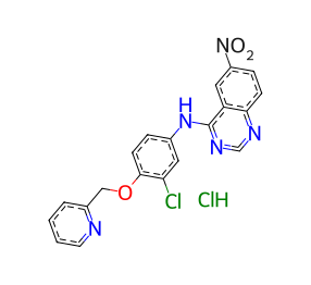 Cl.O=[N+]([O-])c1ccc2ncnc(Nc3ccc(OCc4ccccn4)c(Cl)c3)c2c1